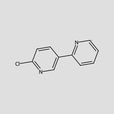 Clc1ccc(-c2ccc[c]n2)cn1